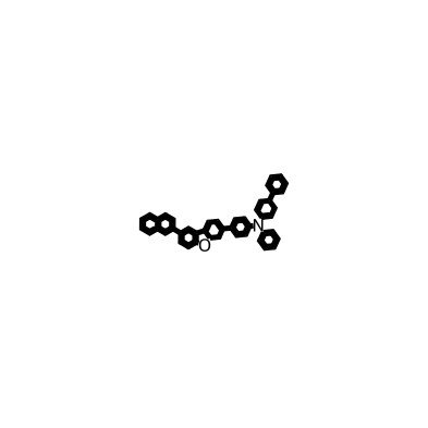 C1=CC(c2ccccc2)CC=C1N(c1ccccc1)c1ccc(C2=CC=C3c4cc(-c5ccc6ccccc6c5)ccc4OC3C2)cc1